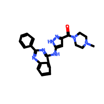 CN1CCN(C(=O)c2cc(Nc3nc(-c4ccccc4)nc4ccccc34)[nH]n2)CC1